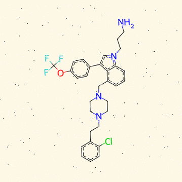 NCCCn1cc(-c2ccc(OC(F)(F)F)cc2)c2c(CN3CCN(CCc4ccccc4Cl)CC3)cccc21